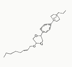 CCCCC/C=C/COC1COC(c2ccc(C34CCC(CCC)(CC3)CC4)cc2)CO1